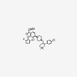 COC(=O)c1ccc(N2CCN(CC3=C(c4ccc(Cl)cc4)CC(C)(C)CC3)CC2)cc1Oc1c(F)cccc1Cl